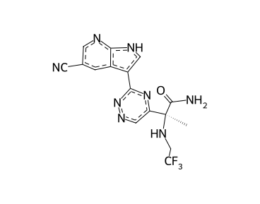 C[C@@](NCC(F)(F)F)(C(N)=O)c1cnnc(-c2c[nH]c3ncc(C#N)cc23)n1